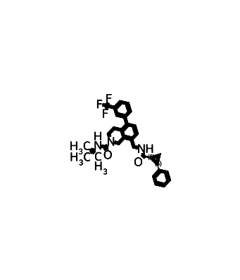 CC(C)(C)NC(=O)N1CCc2c(-c3cccc(C(F)(F)F)c3)ccc(CNC(=O)[C@H]3C[C@@H]3c3ccccc3)c2C1